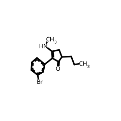 CCCC1CC(NC)=C(c2cccc(Br)c2)C1=O